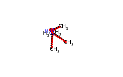 CCCCCCCCCCCCCCN(CCCCCCCCCCCCCC)C(C)(C)C1NCCCN1CCCCCCCC